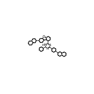 c1ccc(C2N=C(c3ccc(-c4ccc5ccccc5c4)cc3)N=C(c3cccc4oc5cc(-c6ccc7ccccc7c6)ccc5c34)N2)cc1